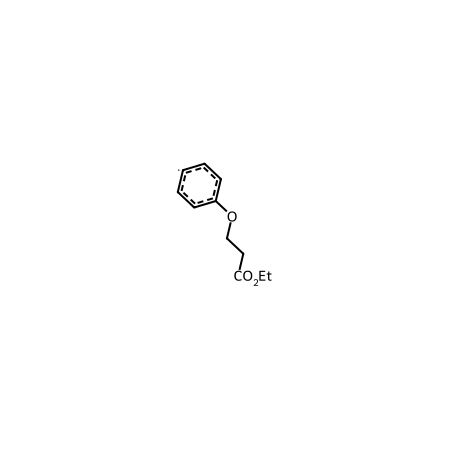 CCOC(=O)CCOc1cc[c]cc1